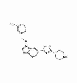 FC(F)(F)c1cccc(COn2ccc3ncc(-c4cnn(C5CCNCC5)c4)cc32)c1